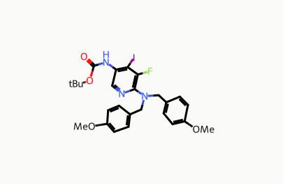 COc1ccc(CN(Cc2ccc(OC)cc2)c2ncc(NC(=O)OC(C)(C)C)c(I)c2F)cc1